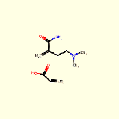 C=C(CCN(C)C)C(N)=O.C=CC(=O)O